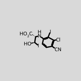 N#Cc1ccc(N[C@@H](C(=O)O)[C@H](O)I)c(I)c1Cl